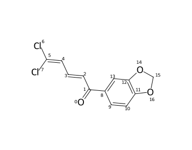 O=C(/C=C/C=C(Cl)Cl)c1ccc2c(c1)OCO2